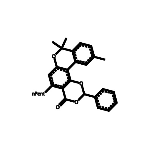 CCCCCc1cc2c(c3c1C(=O)OC(c1ccccc1)O3)-c1cc(C)ccc1C(C)(C)O2